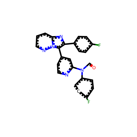 O=CN(c1ccc(F)cc1)c1cc(-c2c(-c3ccc(F)cc3)nc3cccnn23)ccn1